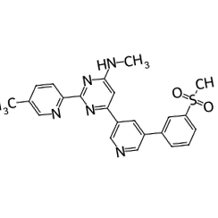 CNc1cc(-c2cncc(-c3cccc(S(C)(=O)=O)c3)c2)nc(-c2ccc(C)cn2)n1